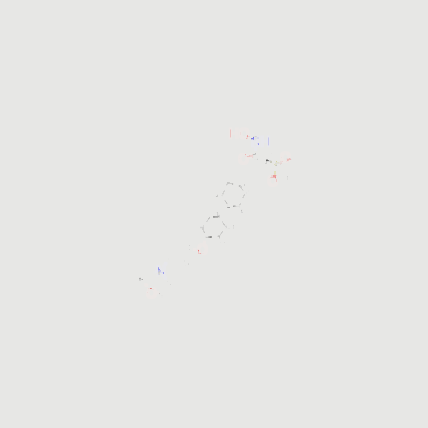 C[C@@](CCc1ccc(-c2ccc(OCCCN3CCOCC3)cc2)cc1)(C(=O)NO)S(C)(=O)=O